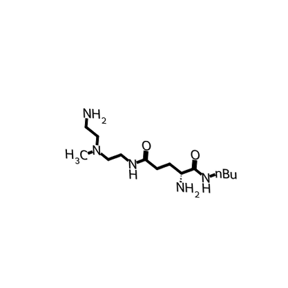 CCCCNC(=O)[C@H](N)CCC(=O)NCCN(C)CCN